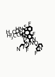 CC(C)(C)OC(=O)Nc1sc2c(F)ccc(-c3c(Cl)c4c5c(nc(OC[C@@]67CCCN6C[C@H](F)C7)nc5c3F)N(CC(F)F)[C@@H](/C=C/C#N)CO4)c2c1C#N